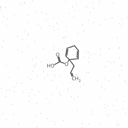 C=CCC1(OC(=O)O)C=CCC=C1